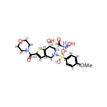 COc1ccc(S(=O)(=O)N2Cc3cc(C(=O)N4CCOCC4)sc3[C@H](O)[C@@H]2C(=O)NO)cc1